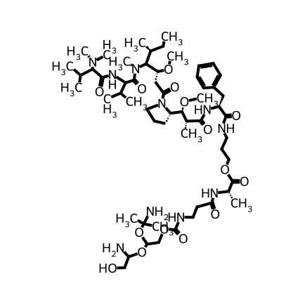 CC[C@H](C)C([C@@H](CC(=O)N1CCC[C@H]1[C@H](OC)[C@@H](C)C(=O)N[C@@H](Cc1ccccc1)C(=O)NCCCOC(=O)[C@H](C)NC(=O)CCNC(=O)OCC(OC(N)CO)OC(C)(C)N)OC)N(C)C(=O)C(NC(=O)C(C(C)C)N(C)C)C(C)C